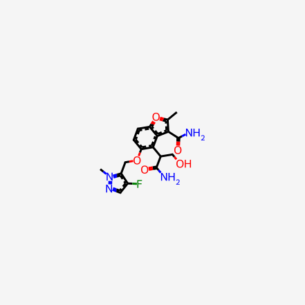 Cc1oc2ccc(OCc3c(F)cnn3C)c(C(CO)C(N)=O)c2c1C(N)=O